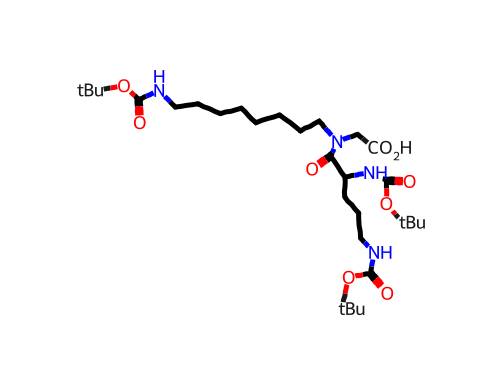 CC(C)(C)OC(=O)NCCCCCCCCN(CC(=O)O)C(=O)C(CCCNC(=O)OC(C)(C)C)NC(=O)OC(C)(C)C